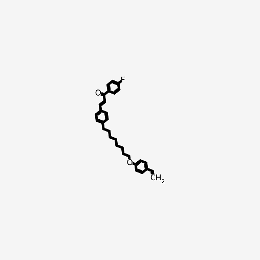 C=Cc1ccc(OCCCCCCCCc2ccc(C=CC(=O)c3ccc(F)cc3)cc2)cc1